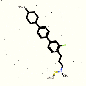 CCCCCC1CCC(c2ccc(-c3ccc(CCCN(C)SOC)c(F)c3)cc2)CC1